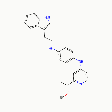 CCOC(C)c1cc(Nc2ccc(NCCc3c[nH]c4ccccc34)cc2)ccn1